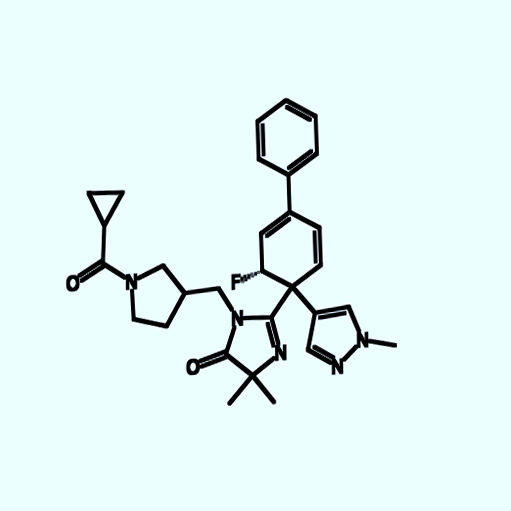 Cn1cc(C2(C3=NC(C)(C)C(=O)N3CC3CCN(C(=O)C4CC4)C3)C=CC(c3ccccc3)=C[C@H]2F)cn1